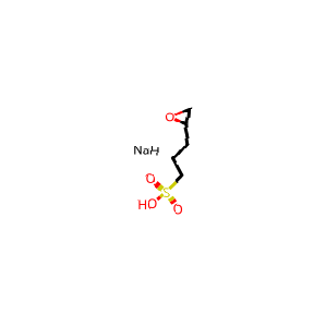 O=S(=O)(O)CCCC1CO1.[NaH]